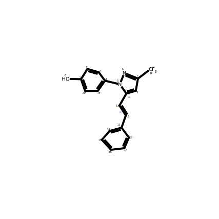 Oc1ccc(-n2nc(C(F)(F)F)cc2/C=C/c2ccccc2)cc1